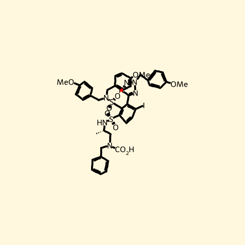 COc1ccc(CN(Cc2ccc(OC)cc2)S(=O)(=O)c2c(S(=O)(=O)N[C@@H](C)CN(Cc3ccccc3)C(=O)O)ccc(I)c2-c2nnn(Cc3ccc(OC)cc3)n2)cc1